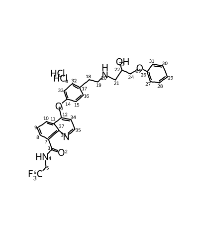 Cl.Cl.O=C(NCC(F)(F)F)c1cccc2c(Oc3ccc(CCNCC(O)COc4ccccc4)cc3)ccnc12